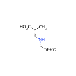 CCCCCCNC=C(C)C(=O)O